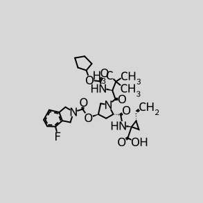 C=C[C@@H]1C[C@]1(NC(=O)[C@@H]1C[C@@H](OC(=O)N2Cc3cccc(F)c3C2)CN1C(=O)[C@@H](NC(=O)OC1CCCC1)C(C)(C)C)C(=O)O